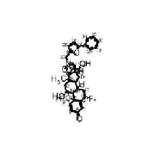 C[C@]12C=CC(=O)C=C1[C@@H](F)C[C@@H]1C2[C@@H](O)C[C@@]2(C)C1C[C@H]1CN(Cc3ccc(-c4ccccc4)o3)O[C@]12C(=O)CO